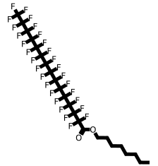 CCCCCCCCOC(=O)C(F)(F)C(F)(F)C(F)(F)C(F)(F)C(F)(F)C(F)(F)C(F)(F)C(F)(F)C(F)(F)C(F)(F)C(F)(F)C(F)(F)C(F)(F)C(F)(F)F